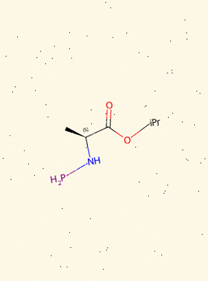 CC(C)OC(=O)[C@H](C)NP